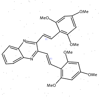 COc1cc(OC)c(/C=C/c2nc3ccccc3nc2/C=C/c2c(OC)cc(OC)cc2OC)c(OC)c1